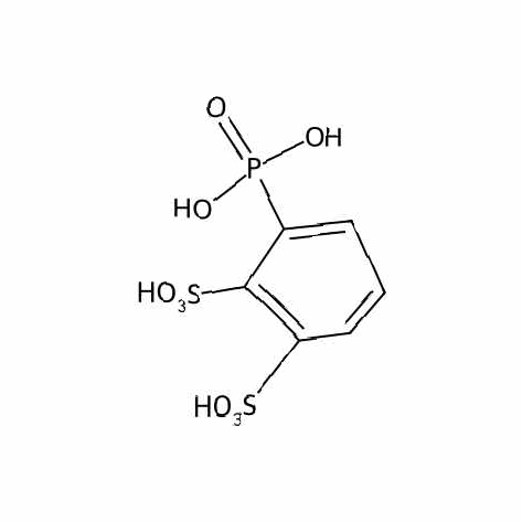 O=P(O)(O)c1cccc(S(=O)(=O)O)c1S(=O)(=O)O